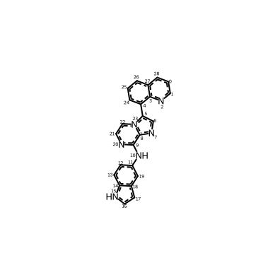 c1cnc2c(-c3cnc4c(Nc5ccc6[nH]ccc6c5)nccn34)cccc2c1